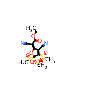 CCOC(=O)C(C#N)=C1OC(S(C)(=O)=O)(S(C)(=O)=O)C(S(C)(=O)=O)=C1C#N